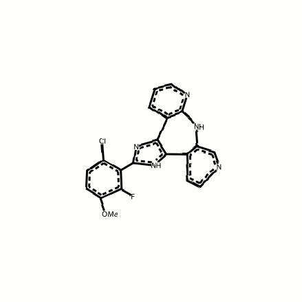 COc1ccc(Cl)c(-c2nc3c([nH]2)-c2ccncc2Nc2ncccc2-3)c1F